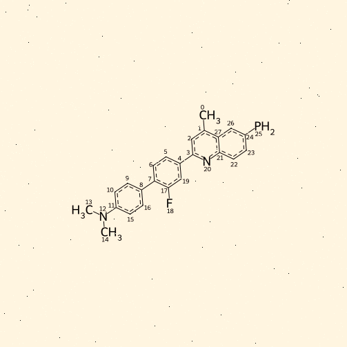 Cc1cc(-c2ccc(-c3ccc(N(C)C)cc3)c(F)c2)nc2ccc(P)cc12